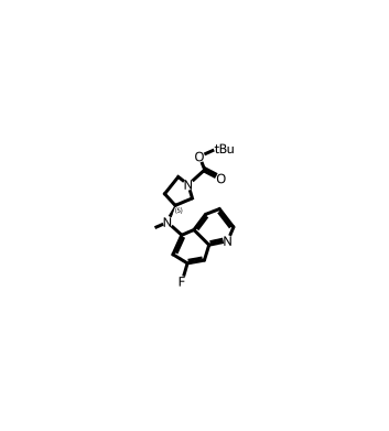 CN(c1cc(F)cc2ncccc12)[C@H]1CCN(C(=O)OC(C)(C)C)C1